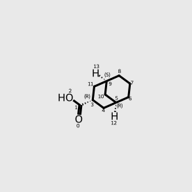 O=C(O)[C@H]1C[C@@H]2CCC[C@@H](C2)C1